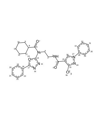 O=C(NCCN(C(=O)C1CCCCC1)c1nnc(-c2ccccc2)o1)c1cn(-c2ccccc2)nc1C(F)(F)F